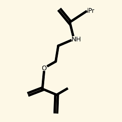 C=C(C)C(=C)OCCNC(=C)C(C)C